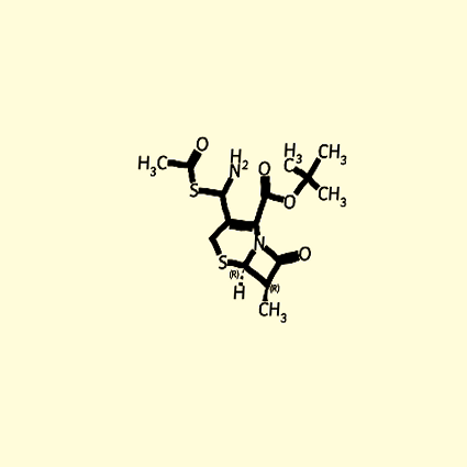 CC(=O)SC(N)C1=C(C(=O)OC(C)(C)C)N2C(=O)[C@@H](C)[C@H]2SC1